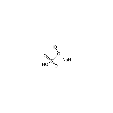 O=S(=O)(O)OO.[NaH]